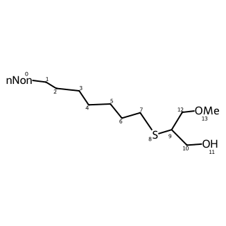 CCCCCCCCCCCCCCCCSC(CO)COC